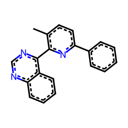 Cc1ccc(-c2ccccc2)nc1-c1ncnc2ccccc12